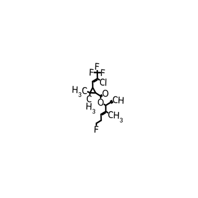 C#CC(OC(=O)C1C(C=C(Cl)C(F)(F)F)C1(C)C)C(C)=CCCF